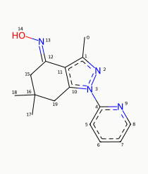 Cc1nn(-c2ccccn2)c2c1C(=NO)CC(C)(C)C2